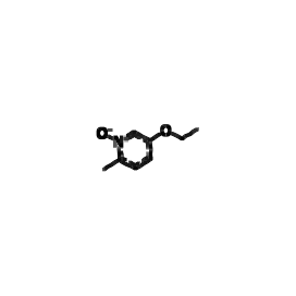 CCOc1ccc(C)[n+]([O-])c1